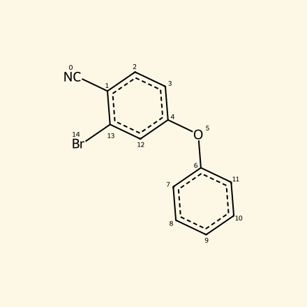 N#Cc1ccc(Oc2ccccc2)cc1Br